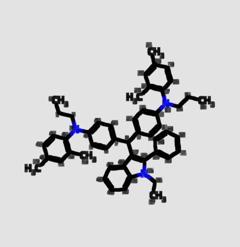 CCCN(c1ccc(C(c2ccc(N(CCC)c3ccc(C)cc3C)cc2)c2c(-c3ccccc3)n(CC)c3ccccc23)cc1)c1ccc(C)cc1C